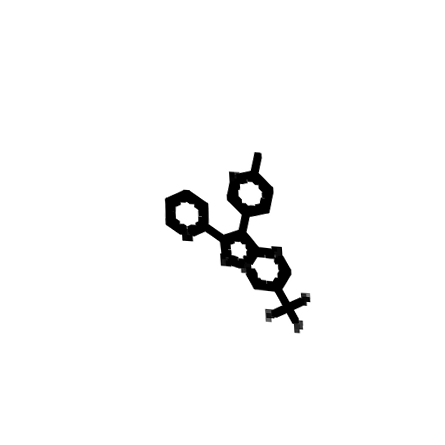 Cc1ccc(-c2c(-c3ccccn3)nn3cc(C(F)(F)F)cnc23)cn1